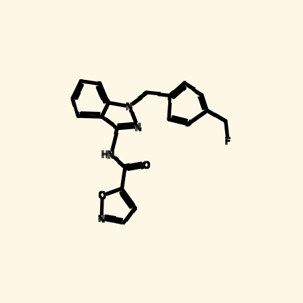 O=C(Nc1nn(Cc2ccc(CF)cc2)c2ccccc12)c1ccno1